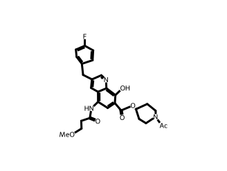 COCCC(=O)Nc1cc(C(=O)OC2CCN(C(C)=O)CC2)c(O)c2ncc(Cc3ccc(F)cc3)cc12